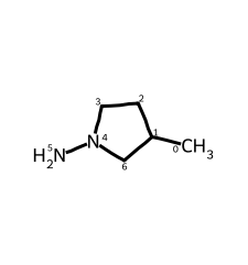 CC1CCN(N)C1